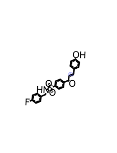 O=C(/C=C/c1ccc(O)cc1)c1ccc(S(=O)(=O)NCc2ccc(F)cc2)cc1